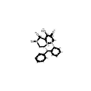 CCN1C[C@@H](C(c2ccccc2)c2ccccc2)n2ncc(=O)c(O)c2C1=O